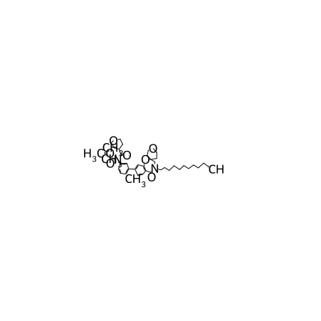 C#CCCCCCCCCCCN1CC2(CCOCC2)Oc2cc(-c3cc(N(C(=O)OC(C)(C)C)C(=O)C4CCOCC4)ccc3C)ccc2C1=O